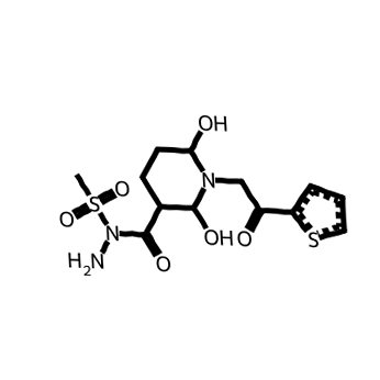 CS(=O)(=O)N(N)C(=O)C1CCC(O)N(CC(=O)c2cccs2)C1O